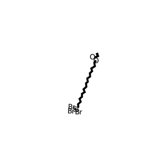 C=CC(=O)OCCCCCCCCCCCCCCCCCC[Si](Br)(Br)Br